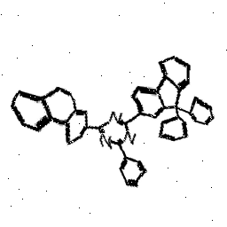 c1ccc(-c2nc(-c3ccc4c(c3)C(c3ccccc3)(c3ccccc3)c3ccccc3-4)nc(-c3ccc4c(ccc5ccccc54)c3)n2)cc1